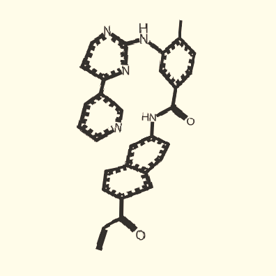 C=CC(=O)c1ccc2cc(NC(=O)c3ccc(C)c(Nc4nccc(-c5cccnc5)n4)c3)ccc2c1